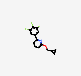 Fc1cc(-c2cccc(OCC3CC3)n2)cc(F)c1F